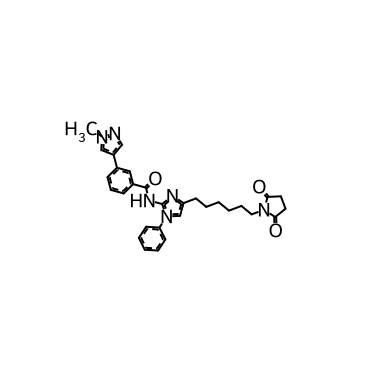 Cn1cc(-c2cccc(C(=O)Nc3nc(CCCCCCN4C(=O)CCC4=O)cn3-c3ccccc3)c2)cn1